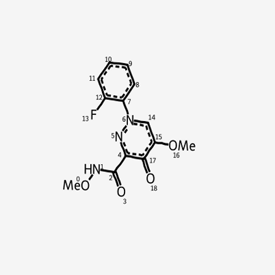 CONC(=O)c1nn(-c2ccccc2F)cc(OC)c1=O